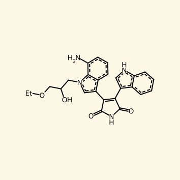 CCOCC(O)Cn1cc(C2=C(c3c[nH]c4ccccc34)C(=O)NC2=O)c2cccc(N)c21